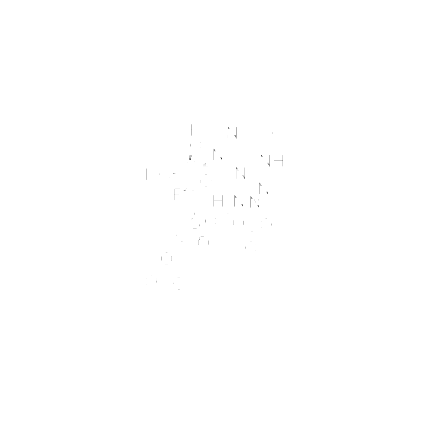 CC(C)OC(=O)OCOP(=O)(OCOC(=O)OC(C)C)OC[C@@]1(F)O[C@@H](n2cnc3c(=O)[nH]c(N=NN)nc32)[C@](C)(O)[C@@H]1O